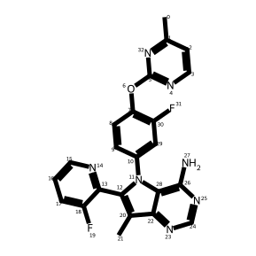 Cc1ccnc(Oc2ccc(-n3c(-c4ncccc4F)c(C)c4ncnc(N)c43)cc2F)n1